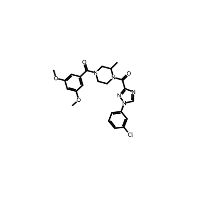 COc1cc(OC)cc(C(=O)N2CCN(C(=O)c3ncn(-c4cccc(Cl)c4)n3)C(C)C2)c1